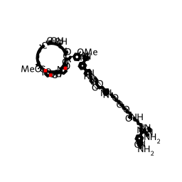 CO[C@@H]1C[C@@H]2CC[C@@H](C)[C@@](O)(O2)C(=O)C(=O)N2CCCC[C@H]2C(=O)O[C@H]([C@H](C)C[C@@H]2CCC(n3nncc3-c3cccc(-c4cnc(N5CCN(S(=O)(=O)CCc6cn(CCOCCOCCOCCC(=O)NCCCCn7nc(-c8ccc9oc(N)nc9c8)c8c(N)ncnc87)nn6)CC5)nc4)c3)[C@H](OC)C2)CC(=O)[C@H](C)/C=C(/C)[C@H](O)[C@@H](O)C(=O)[C@H](C)C[C@H](C)\C=C/C=C\C=C/1C